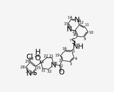 O=C(c1ccc(NSc2cccc3nccnc23)cc1)N1CCC(O)(c2sncc2Cl)CC1